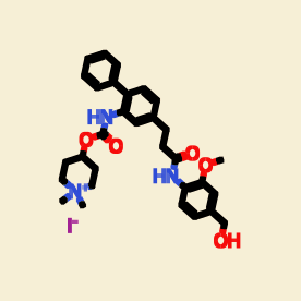 COc1cc(CO)ccc1NC(=O)CCc1ccc(-c2ccccc2)c(NC(=O)OC2CC[N+](C)(C)CC2)c1.[I-]